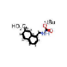 CC(C)(C)OC(=O)NCc1cccc2ccc(C(=O)O)cc12